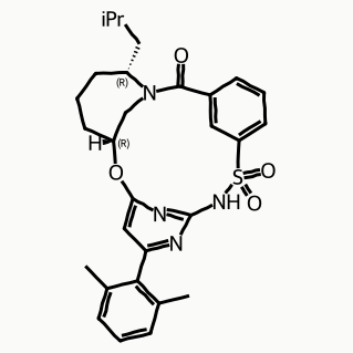 Cc1cccc(C)c1-c1cc2nc(n1)NS(=O)(=O)c1cccc(c1)C(=O)N1C[C@@H](CCC[C@@H]1CC(C)C)O2